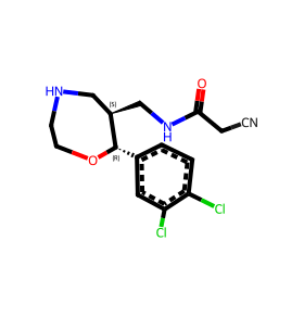 N#CCC(=O)NC[C@@H]1CNCCO[C@H]1c1ccc(Cl)c(Cl)c1